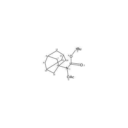 CC(=O)ON(C(=O)OC(C)(C)C)C12CC3CC(CC(C3)C1)C2